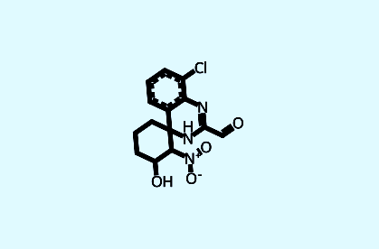 O=CC1=Nc2c(Cl)cccc2C2(CCCC(O)C2[N+](=O)[O-])N1